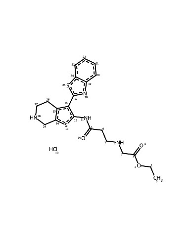 CCOC(=O)CNCCC(=O)Nc1sc2c(c1-c1nc3ccccc3s1)CCNC2.Cl